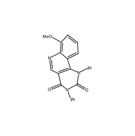 COc1cccc2c1ncc1c(=O)n(C(C)C)c(=O)n(C(C)C)c12